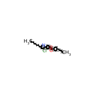 CCCCCCCCc1cnc(-c2ccc(OC(=O)[C@H]3CC[C@H](CCCCC)CC3)cc2)c(Cl)c1